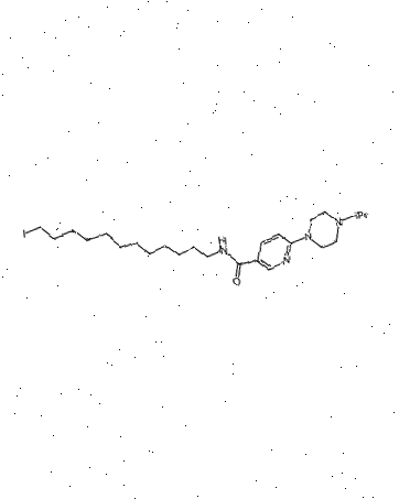 CC(C)N1CCN(c2ccc(C(=O)NCCCCCCCCCCCCI)cn2)CC1